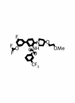 COCCOC1CCN(c2ccc(-c3cc(F)cc(OC(F)F)c3)cc2NS(=O)(=O)c2cccc(C(F)(F)F)c2)CC1